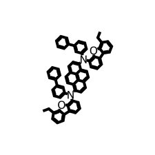 CCc1cccc2c1oc1c(N(c3cccc(-c4ccccc4)c3)c3ccc4ccc5c(N(c6cccc(-c7ccccc7)c6)c6cccc7c6oc6c(CC)cccc67)ccc6ccc3c4c65)cccc12